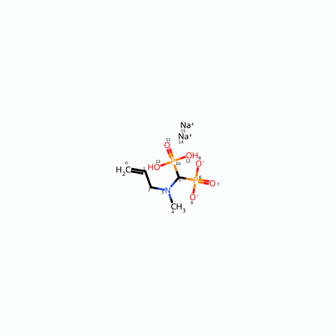 C=CCN(C)C(P(=O)([O-])[O-])P(=O)(O)O.[Na+].[Na+]